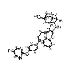 O=C(NC1[C@@H]2CC3C[C@H]1CC(O)(C3)C2)ON1CCN(c2ccc(Oc3ncc(F)cn3)cc2)c2ccccc21